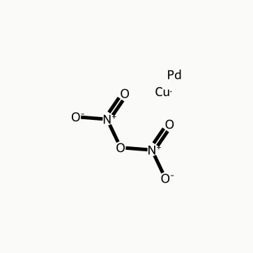 O=[N+]([O-])O[N+](=O)[O-].[Cu].[Pd]